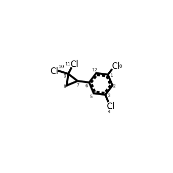 Clc1cc(Cl)cc(C2CC2(Cl)Cl)c1